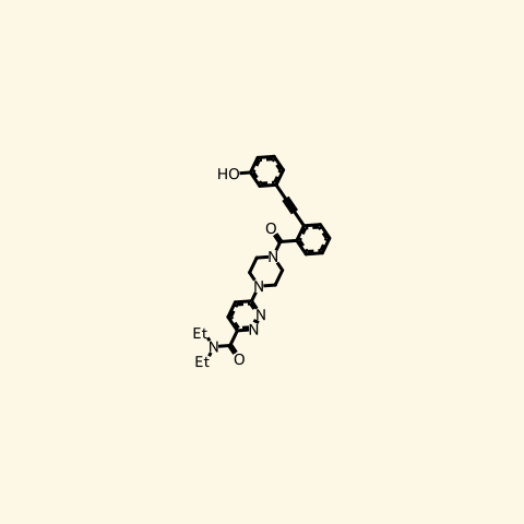 CCN(CC)C(=O)c1ccc(N2CCN(C(=O)c3ccccc3C#Cc3cccc(O)c3)CC2)nn1